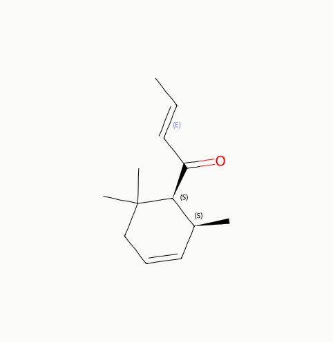 C/C=C/C(=O)[C@H]1[C@@H](C)C=CCC1(C)C